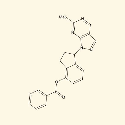 CSc1ncc2cnn(C3CCc4c(OC(=O)c5ccccc5)cccc43)c2n1